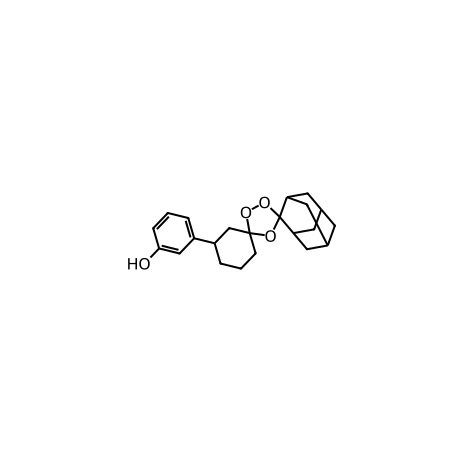 Oc1cccc(C2CCCC3(C2)OOC2(O3)C3CC4CC(C3)CC2C4)c1